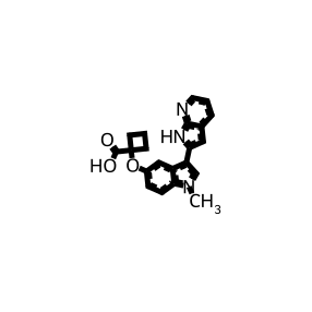 Cn1cc(-c2cc3cccnc3[nH]2)c2cc(OC3(C(=O)O)CCC3)ccc21